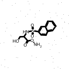 NOC(=O)C(CO)NS(=O)(=O)c1ccc2ccccc2c1